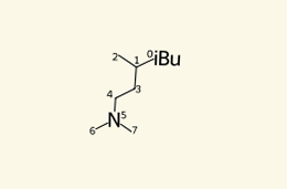 CCC(C)C(C)CCN(C)C